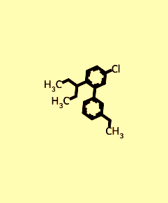 CCc1cccc(-c2cc(Cl)ccc2C(CC)CC)c1